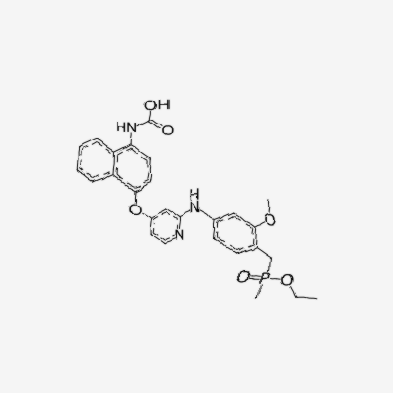 CCOP(C)(=O)Cc1ccc(Nc2cc(Oc3ccc(NC(=O)O)c4ccccc34)ccn2)cc1OC